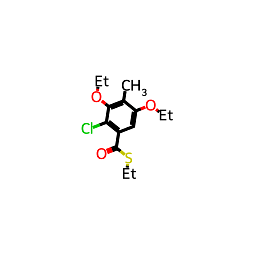 CCOc1cc(C(=O)SCC)c(Cl)c(OCC)c1C